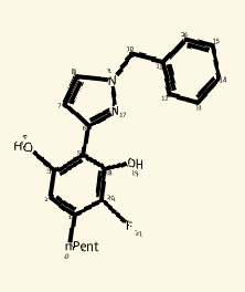 CCCCCc1cc(O)c(-c2ccn(Cc3ccccc3)n2)c(O)c1F